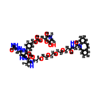 CC(C)[C@H](NC(=O)CCOCCOCCOCCOCCC(=O)NCC(=O)N1Cc2ccccc2C#Cc2ccccc21)C(=O)N[C@@H](CCCNC(N)=O)C(=O)Nc1ccc(COC(=O)OCCC(=O)N(C)[C@@H](C)C(=O)O)cc1